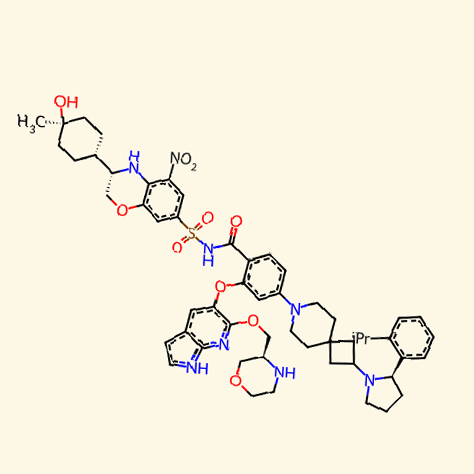 CC(C)c1ccccc1[C@H]1CCCN1C1CC2(CCN(c3ccc(C(=O)NS(=O)(=O)c4cc5c(c([N+](=O)[O-])c4)N[C@@H]([C@H]4CC[C@](C)(O)CC4)CO5)c(Oc4cc5cc[nH]c5nc4OC[C@@H]4COCCN4)c3)CC2)C1